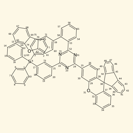 c1ccc([Si](c2ccccc2)(c2ccccc2)c2cccc(-c3nc(-c4ccc5c(c4)Oc4ccccc4C54c5ccccc5-c5ccccc54)nc(-c4ccccc4-c4ccc5oc6ccccc6c5c4)n3)c2)cc1